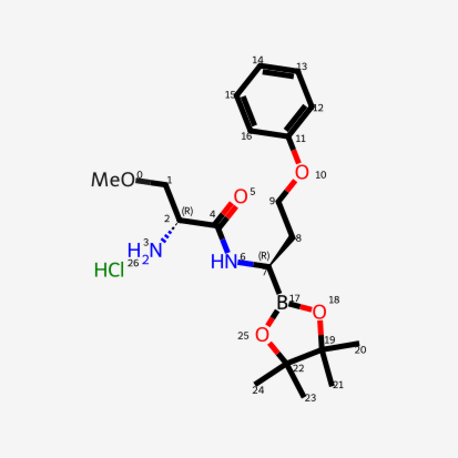 COC[C@@H](N)C(=O)N[C@@H](CCOc1ccccc1)B1OC(C)(C)C(C)(C)O1.Cl